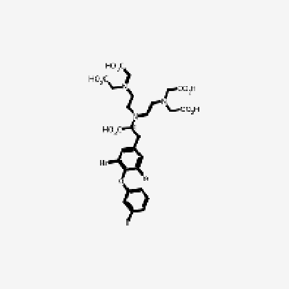 O=C(O)CN(CCN(CCN(CC(=O)O)CC(=O)O)[C@@H](Cc1cc(Br)c(Oc2cccc(I)c2)c(Br)c1)C(=O)O)CC(=O)O